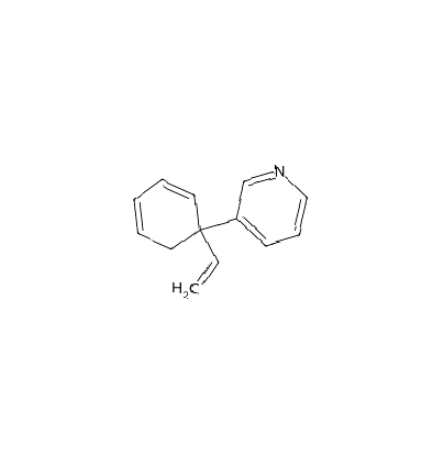 C=CC1(c2cccnc2)C=CC=CC1